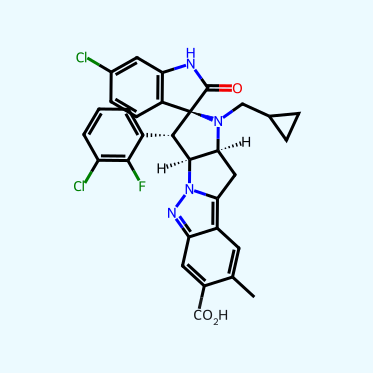 Cc1cc2c3n(nc2cc1C(=O)O)[C@@H]1[C@H](C3)N(CC2CC2)[C@@]2(C(=O)Nc3cc(Cl)ccc32)[C@H]1c1cccc(Cl)c1F